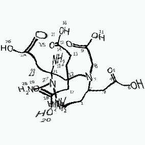 NCC(CC(=O)O)N(CC(=O)O)C(CC(=O)O)(CC(=O)O)C(N)(CC(=O)O)N(N)N